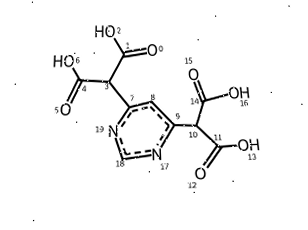 O=C(O)C(C(=O)O)c1cc(C(C(=O)O)C(=O)O)ncn1